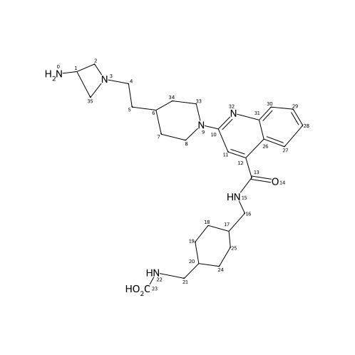 NC1CN(CCC2CCN(c3cc(C(=O)NCC4CCC(CNC(=O)O)CC4)c4ccccc4n3)CC2)C1